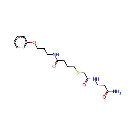 NC(=O)CCNC(=O)CSCCCC(=O)NCCCOc1ccccc1